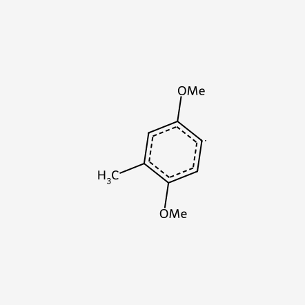 COc1[c]cc(OC)c(C)c1